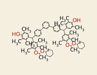 Cc1cc(C(c2ccc(-c3cccc(-c4ccc(C(c5cc(C)c(O)c(C)c5C)c5cc(C)c(OC(C)OC6CCCCC6)c(C)c5C)cc4)c3)cc2)c2cc(C)c(OC(C)OC3CCCCC3)c(C)c2C)c(C)c(C)c1O